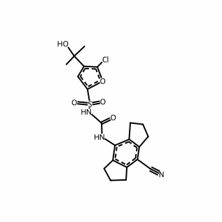 CC(C)(O)c1cc(S(=O)(=O)NC(=O)Nc2c3c(c(C#N)c4c2CCC4)CCC3)oc1Cl